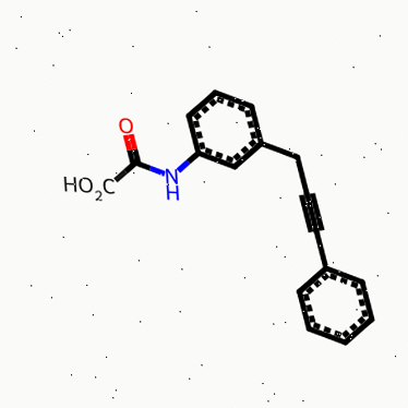 O=C(O)C(=O)Nc1cccc(CC#Cc2ccccc2)c1